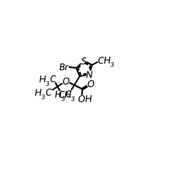 Cc1nc(C(C)(OC(C)(C)C)C(=O)O)c(Br)s1